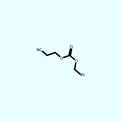 CC(C)COC(=O)OCCC#N